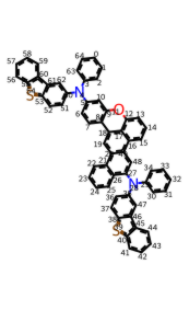 c1ccc(N(c2ccc3c(c2)Oc2cccc4c2c-3cc2c3ccccc3c(N(c3ccccc3)c3ccc5sc6ccccc6c5c3)cc42)c2ccc3sc4ccccc4c3c2)cc1